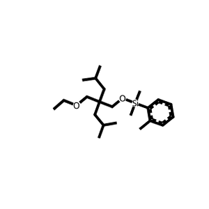 CCOCC(CO[Si](C)(C)c1ccccc1C)(CC(C)C)CC(C)C